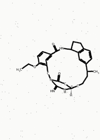 CCOc1ccc2cc1CN1C(=N)N[C@H](CCCC(C)c3ccc4c(c3)C(CC4)NC2=O)CC1=O